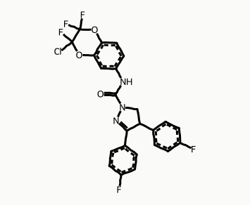 O=C(Nc1ccc2c(c1)OC(F)(Cl)C(F)(F)O2)N1CC(c2ccc(F)cc2)C(c2ccc(F)cc2)=N1